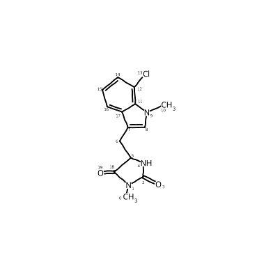 CN1C(=O)NC(Cc2cn(C)c3c(Cl)cccc23)C1=O